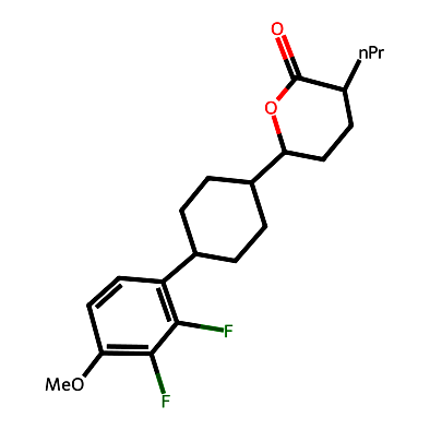 CCCC1CCC(C2CCC(c3ccc(OC)c(F)c3F)CC2)OC1=O